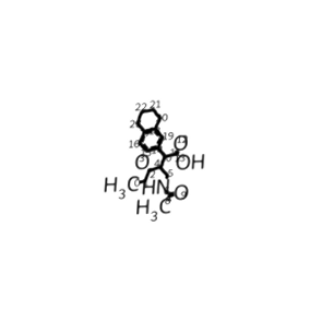 CCC(=O)C(CNC(C)=O)C(C(=O)O)c1ccc2c(c1)CCCC2